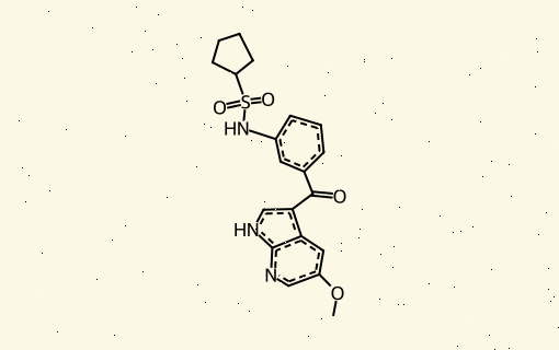 COc1cnc2[nH]cc(C(=O)c3cccc(NS(=O)(=O)C4CCCC4)c3)c2c1